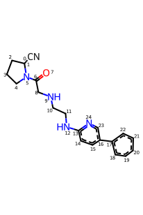 N#CC1CCCN1C(=O)CNCCNc1ccc(-c2ccccc2)cn1